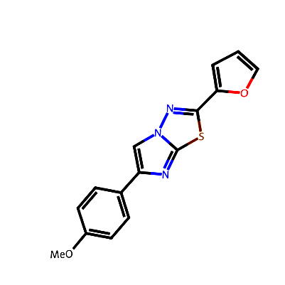 COc1ccc(-c2cn3nc(-c4ccco4)sc3n2)cc1